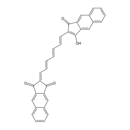 O=C1C(=C/C=C/C=C/C=C/C2=C(O)c3cc4ccccc4cc3C2=O)C(=O)c2cc3ccccc3cc21